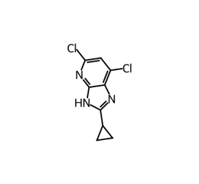 Clc1cc(Cl)c2nc(C3CC3)[nH]c2n1